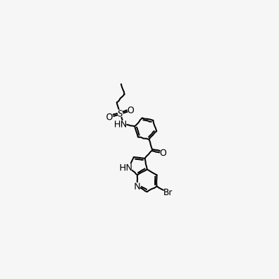 CCCS(=O)(=O)Nc1cccc(C(=O)c2c[nH]c3ncc(Br)cc23)c1